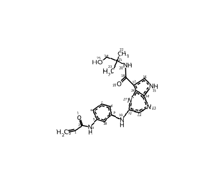 C=CC(=O)Nc1cccc(Nc2cnc3[nH]cc(C(=O)NC(C)(C)CO)c3n2)c1